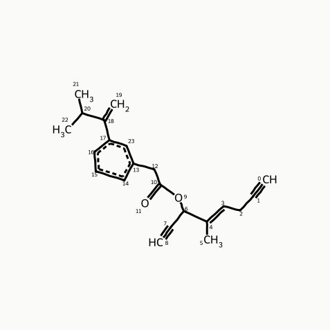 C#CCC=C(C)C(C#C)OC(=O)Cc1cccc(C(=C)C(C)C)c1